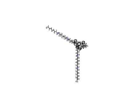 CCCCCCCC/C=C/CCCCCC/C=C/CCCC(=O)Oc1ccc(C(=O)C(N)C(C)(C)C)cc1OC(=O)CCC/C=C/CCCCCC/C=C/CCCCCCCC